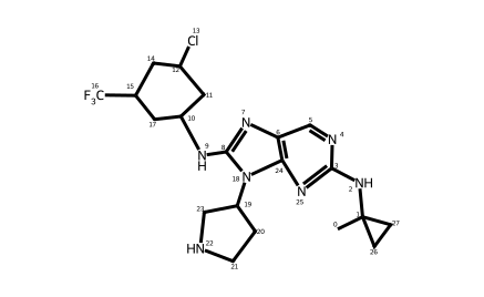 CC1(Nc2ncc3nc(NC4CC(Cl)CC(C(F)(F)F)C4)n(C4CCNC4)c3n2)CC1